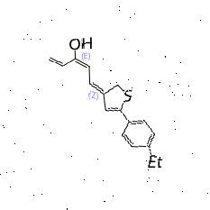 C=C/C(O)=C\C=C1\C=C(c2ccc(CC)cc2)SC1